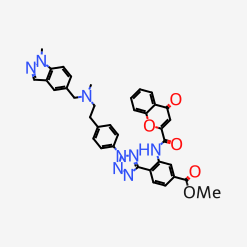 COC(=O)c1ccc(-c2nnn(-c3ccc(CCN(C)Cc4ccc5c(cnn5C)c4)cc3)n2)c(NC(=O)c2cc(=O)c3ccccc3o2)c1